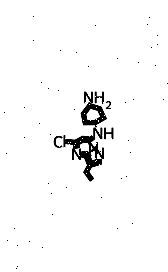 CCc1cnn2c(N[C@H]3CC[C@@H](N)CC3)cc(Cl)nc12